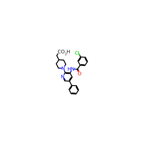 O=C(O)CC1CCN(c2ncc(-c3ccccc3)cc2NC(=O)c2cccc(Cl)c2)CC1